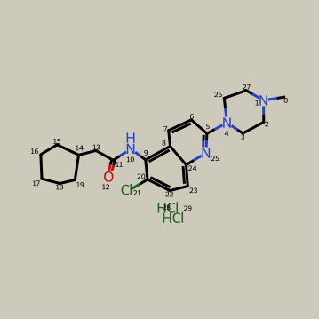 CN1CCN(c2ccc3c(NC(=O)CC4CCCCC4)c(Cl)ccc3n2)CC1.Cl.Cl